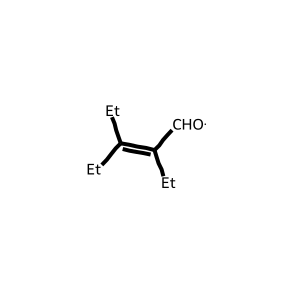 CCC([C]=O)=C(CC)CC